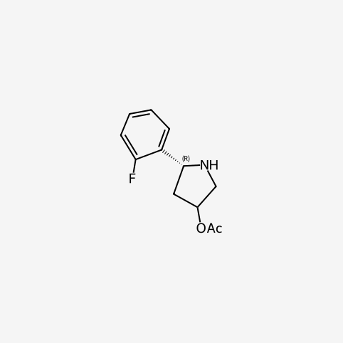 CC(=O)OC1CN[C@@H](c2ccccc2F)C1